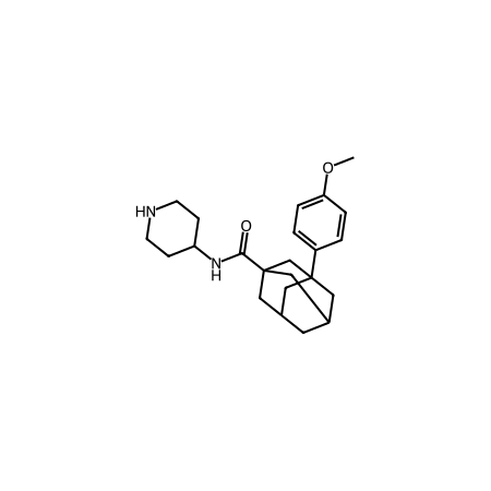 COc1ccc(C23CC4CC(CC(C(=O)NC5CCNCC5)(C4)C2)C3)cc1